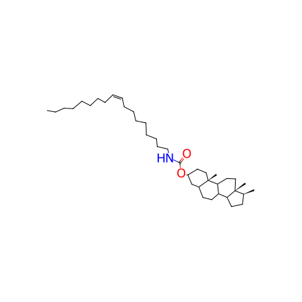 CCCCCCCC/C=C\CCCCCCCCNC(=O)O[C@@H]1CC[C@@]2(C)C(CCC3C2CC[C@@]2(C)C3CC[C@@H]2C)C1